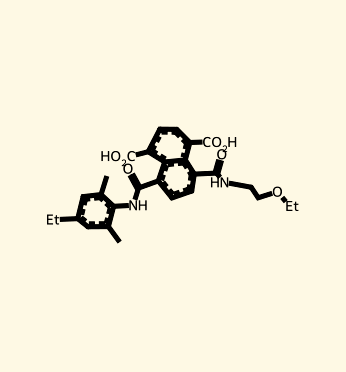 CCOCCNC(=O)c1ccc(C(=O)Nc2c(C)cc(CC)cc2C)c2c(C(=O)O)ccc(C(=O)O)c12